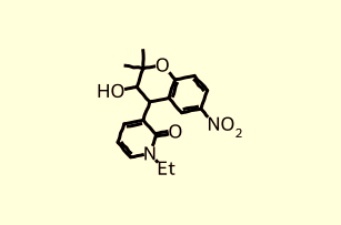 CCn1cccc(C2c3cc([N+](=O)[O-])ccc3OC(C)(C)C2O)c1=O